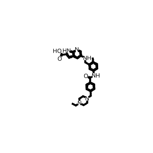 CCN1CCN(Cc2ccc(C(=O)Nc3ccc(C)c(CNc4cnc5[nH]c(C(=O)O)cc5c4)c3)cc2)CC1